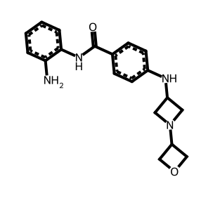 Nc1ccccc1NC(=O)c1ccc(NC2CN(C3COC3)C2)cc1